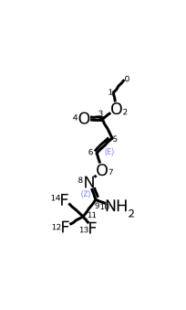 CCOC(=O)/C=C/O/N=C(\N)C(F)(F)F